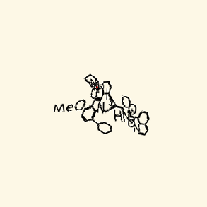 COc1ccc(C2CCCCC2)c2c1cc1n2CC2=C(C(=O)NS(=O)(=O)c3cccc4cccnc34)C2=C2C=CC[C@@H](C(=O)N3C4CCC3CN(C)C4)C21